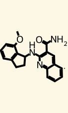 COc1cccc2c1C(Nc1nc3ccc[c]c3cc1C(N)=O)CC2